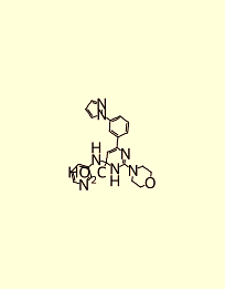 O=C(O)C1(Nc2cccnc2)C=C(c2cccc(-n3cccn3)c2)N=C(N2CCOCC2)N1